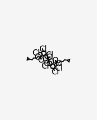 O=C(Oc1c(Cl)cc(Cl)c(Cl)c1C(=O)OCCCC1CC1)C(=O)Oc1c(Cl)cc(Cl)c(Cl)c1C(=O)OCCCC1CC1